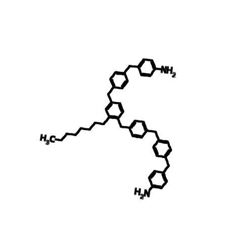 CCCCCCCCc1cc(Cc2ccc(Cc3ccc(N)cc3)cc2)ccc1Cc1ccc(Cc2ccc(Cc3ccc(N)cc3)cc2)cc1